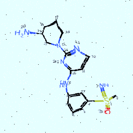 CS(=N)(=O)c1cccc(Nc2ccnc(N3CCC[C@H](N)C3)n2)c1